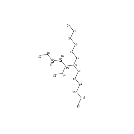 CCCCCCC(CCCCCC)C(CC)SSCC